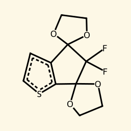 FC1(F)C2(OCCO2)c2ccsc2C12OCCO2